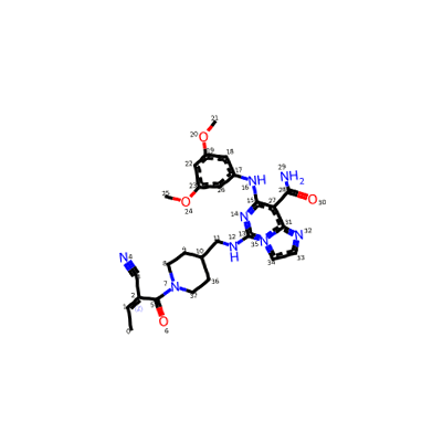 C/C=C(/C#N)C(=O)N1CCC(CNc2nc(Nc3cc(OC)cc(OC)c3)c(C(N)=O)c3nccn23)CC1